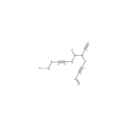 [C]#CC(CC#CC=C)C(C)CC#CCCF